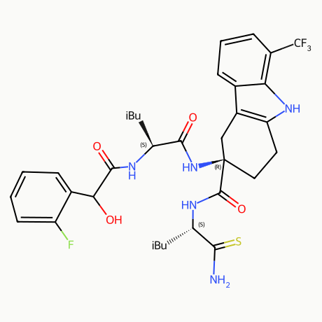 CCC(C)[C@H](NC(=O)C(O)c1ccccc1F)C(=O)N[C@]1(C(=O)N[C@H](C(N)=S)C(C)CC)CCc2[nH]c3c(C(F)(F)F)cccc3c2C1